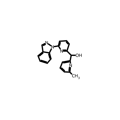 Cc1cccc(C(O)c2cccc(-n3ncc4ccccc43)n2)n1